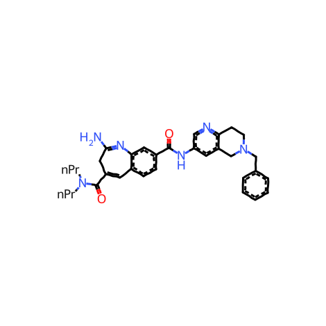 CCCN(CCC)C(=O)C1=Cc2ccc(C(=O)Nc3cnc4c(c3)CN(Cc3ccccc3)CC4)cc2N=C(N)C1